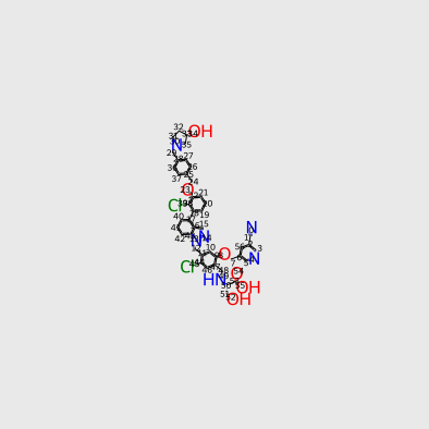 N#Cc1cncc(COc2cc(Cn3ncc4c(-c5cccc(OCc6ccc(CN7CCC(O)C7)cc6)c5Cl)cccc43)c(Cl)cc2CN[C@@H](CO)C(=O)O)c1